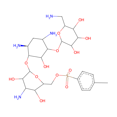 Cc1ccc(S(=O)(=O)OCC2OC(OC3C(O)C(OC4OC(CN)C(O)C(O)C4O)C(N)C[C@@H]3N)C(O)C(N)C2O)cc1